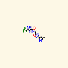 Cc1cncc(-c2noc(C(C)NC(=O)c3cc(C(F)(F)F)nn3C)n2)c1